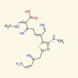 CN/C=C(\C(=N)C/C=C(\C=N)c1sc(CC(=N)/C=C\N)nc1NC)C(=O)O